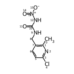 Cc1nc(Cl)ccc1CNC(=O)N[N+](=O)[O-]